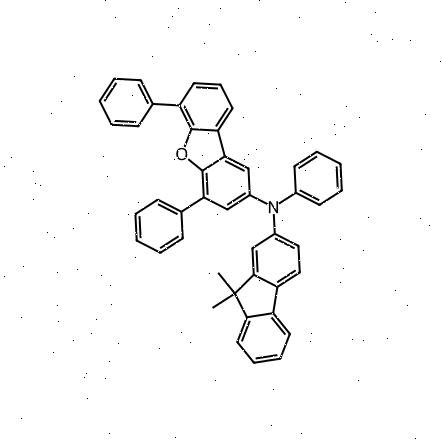 CC1(C)c2ccccc2-c2ccc(N(c3ccccc3)c3cc(-c4ccccc4)c4oc5c(-c6ccccc6)cccc5c4c3)cc21